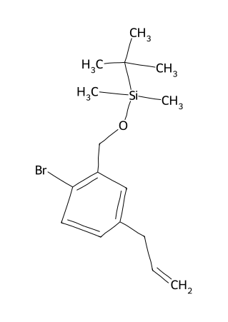 C=CCc1ccc(Br)c(CO[Si](C)(C)C(C)(C)C)c1